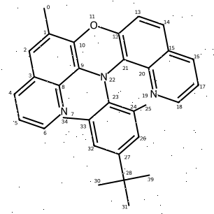 Cc1cc2cccnc2c2c1Oc1ccc3cccnc3c1N2c1c(C)cc(C(C)(C)C)cc1C